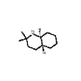 CC1(C)CC[C@H]2CCCC[C@@H]2N1